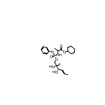 CC=C[C@H](O)[C@@](O)(F)COP(=O)(NC(C)C(=O)OC1CCCCC1)Oc1ccccc1